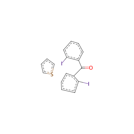 O=C(c1ccccc1I)c1ccccc1I.c1ccsc1